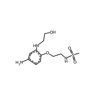 CS(=O)(=O)NCCOc1ccc(N)cc1NCCO